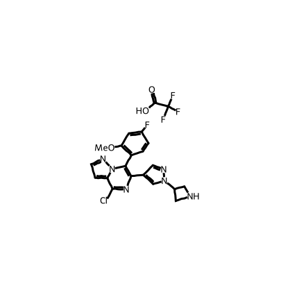 COc1cc(F)ccc1-c1c(-c2cnn(C3CNC3)c2)nc(Cl)c2ccnn12.O=C(O)C(F)(F)F